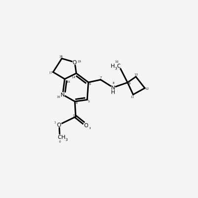 COC(=O)c1cc(CNC2(C)CCC2)c2c(n1)CCO2